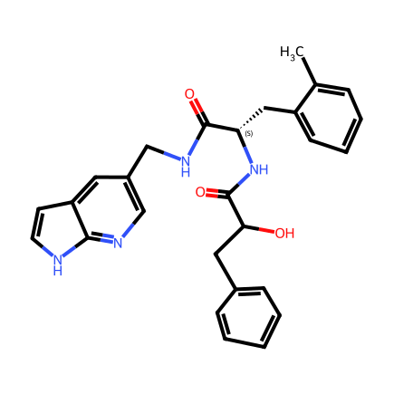 Cc1ccccc1C[C@H](NC(=O)C(O)Cc1ccccc1)C(=O)NCc1cnc2[nH]ccc2c1